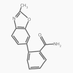 Cc1nc2ccc(-c3ccccc3C(N)=O)cc2o1